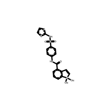 O=C(Nc1ccc(S(=O)(=O)Nc2nccs2)cc1)c1cccc2c1C=CS2(O)O